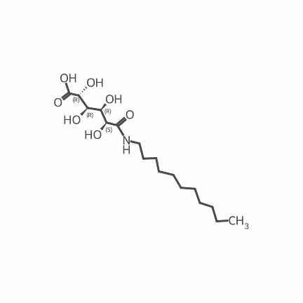 CCCCCCCCCCCNC(=O)[C@@H](O)[C@H](O)[C@@H](O)[C@@H](O)C(=O)O